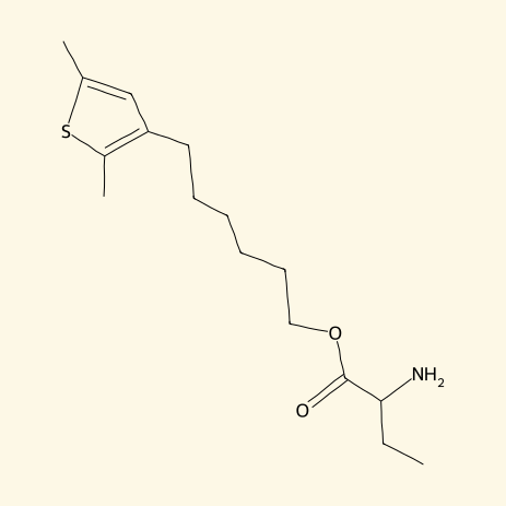 CCC(N)C(=O)OCCCCCCc1cc(C)sc1C